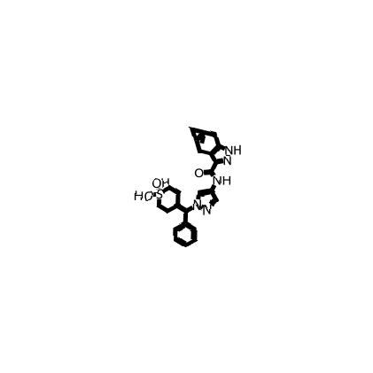 CC12Cc3[nH]nc(C(=O)Nc4cnn(C(c5ccccc5)C5CCS(O)(O)CC5)c4)c3CC1C2